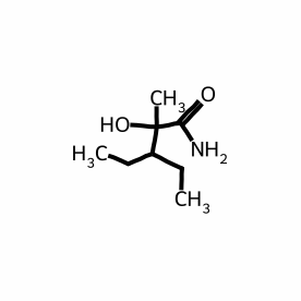 CCC(CC)C(C)(O)C(N)=O